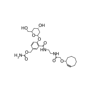 NC(=O)OCc1ccc(OC2C[C@@H](O)CC(CO)O2)c(C(=O)NCCNC(=O)COC2C#CCCCCC2)c1